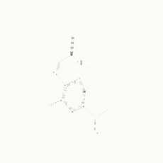 C=C(N)/C=N\c1ccc(B(O)O)cc1C